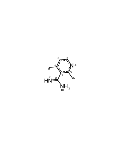 Cc1ccnc(C)c1C(=N)N